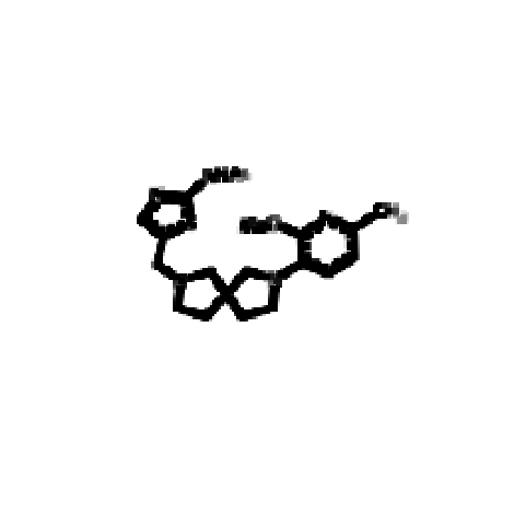 COc1nc(C)ccc1N1CCC2(CCN(Cc3cnc(NC(C)=O)s3)C2)C1